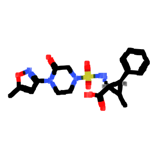 Cc1cc(N2CCN(S(=O)(=O)N[C@@]3(C(=O)O)C(C)[C@@H]3c3ccccc3)CC2=O)no1